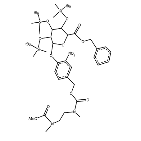 COC(=O)N(C)CCN(C)C(=O)OCc1ccc(OC2OC(C(=O)OCc3ccccc3)C(O[Si](C)(C)C(C)(C)C)C(O[Si](C)(C)C(C)(C)C)C2O[Si](C)(C)C(C)(C)C)c([N+](=O)[O-])c1